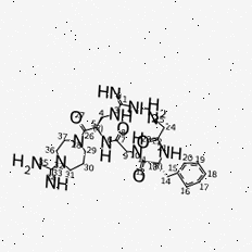 N=C(N)NC[C@@H](NC(=O)CNC(=O)[C@@H](Cc1ccccc1)NC(=O)CN)C(=O)N1CCCN(C(=N)N)CC1